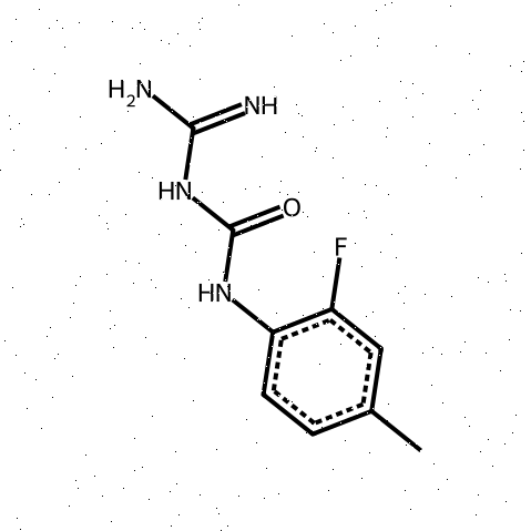 Cc1ccc(NC(=O)NC(=N)N)c(F)c1